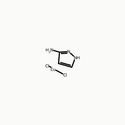 Nc1cc[nH]n1.[Cl][Cu][Cl]